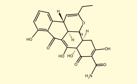 CCC1=C[C@H]2c3cccc(O)c3C(=O)C3=C(O)[C@]4(O)C(=O)C(C(N)=O)=C(O)C[C@@H]4[C@@H](O1)[C@@H]32